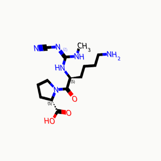 CN/C(=N/C#N)N[C@@H](CCCCN)C(=O)N1CCC[C@H]1C(=O)O